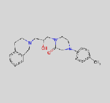 Cc1ccc(N2CCN(CC(O)CN3CCc4ccccc4C3)C(=O)C2)cc1